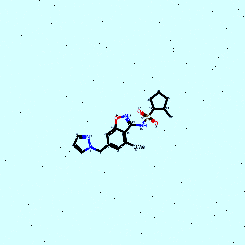 COc1cc(Cn2cccn2)cc2onc(NS(=O)(=O)C3CCCC3C)c12